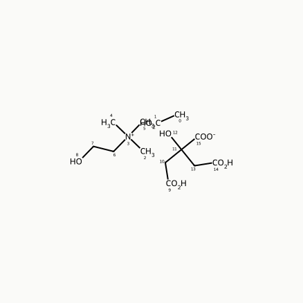 CC(=O)O.C[N+](C)(C)CCO.O=C(O)CC(O)(CC(=O)O)C(=O)[O-]